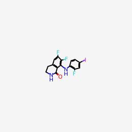 O=C1NCCc2cc(F)c(F)c(Nc3ccc(I)cc3F)c21